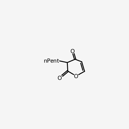 CCCCCC1C(=O)C=COC1=O